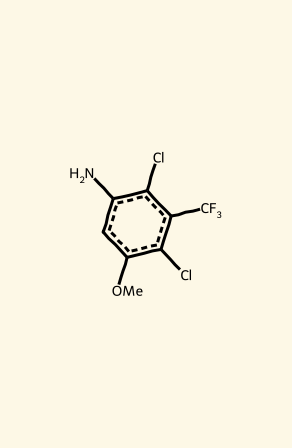 COc1cc(N)c(Cl)c(C(F)(F)F)c1Cl